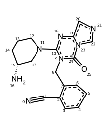 N#Cc1ccccc1Cn1c(N2CCC[C@@H](N)C2)nc2cncn2c1=O